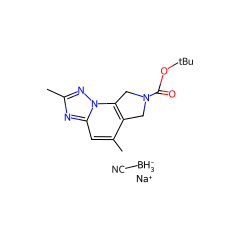 Cc1nc2cc(C)c3c(n2n1)CN(C(=O)OC(C)(C)C)C3.[BH3-]C#N.[Na+]